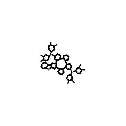 Cc1ccc(N(c2ccc(C)c(C)c2)c2ccc3c4ccccc4c4ccc(N(c5ccc(C)c(C)c5)c5ccc(C)c(C)c5)cc4c4cc5c(cc4c4ccccc4c3c2)sc2ccccc25)cc1C